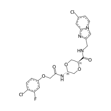 O=C(COc1ccc(Cl)c(F)c1)N[C@H]1CO[C@H](C(=O)NCc2cn3ccc(Cl)cc3n2)CO1